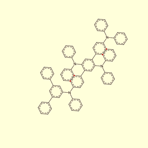 c1ccc(-c2cc(-c3ccccc3)cc(N(c3ccccc3)c3ccc(-c4cc(N(c5ccccc5)c5ccccc5)c(-c5ccc(N(c6ccccc6)c6ccccc6)cc5)cc4N(c4ccccc4)c4ccccc4)cc3)c2)cc1